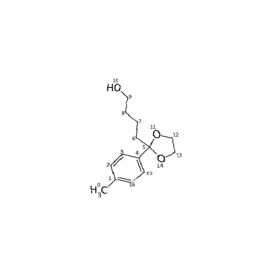 Cc1ccc(C2(CCCCO)OCCO2)cc1